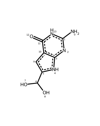 Nc1nc2[nH]c(C(O)O)cc2c(=O)[nH]1